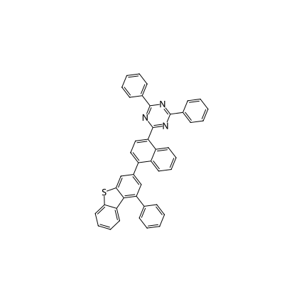 c1ccc(-c2nc(-c3ccccc3)nc(-c3ccc(-c4cc(-c5ccccc5)c5c(c4)sc4ccccc45)c4ccccc34)n2)cc1